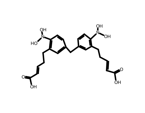 O=C(O)C=CCCc1cc(Cc2ccc(N(O)O)c(CCC=CC(=O)O)c2)ccc1N(O)O